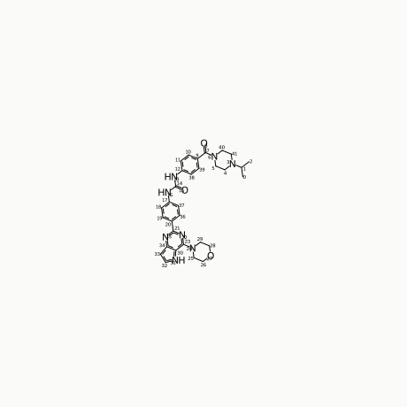 CC(C)N1CCN(C(=O)c2ccc(NC(=O)Nc3ccc(-c4nc(N5CCOCC5)c5[nH]ccc5n4)cc3)cc2)CC1